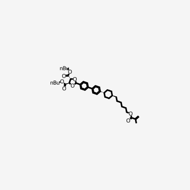 C=C(C)C(=O)OCCCCCC[C@H]1CC[C@H](c2ccc(-c3ccc(C4O[C@@H](C(=O)OCCCC)[C@H](C(=O)OCCCC)O4)cc3)cc2)CC1